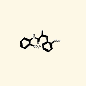 COc1ccccc1C=C(C)C(=O)Nc1ccccc1C(=O)O